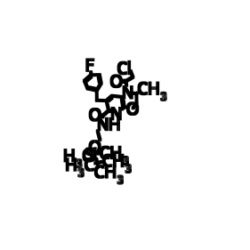 C[C@H]1COc2nc(C(=O)NCCO[Si](C)(C)C(C)(C)C)c(Cc3ccc(F)cc3)cc2N1C(=O)CCl